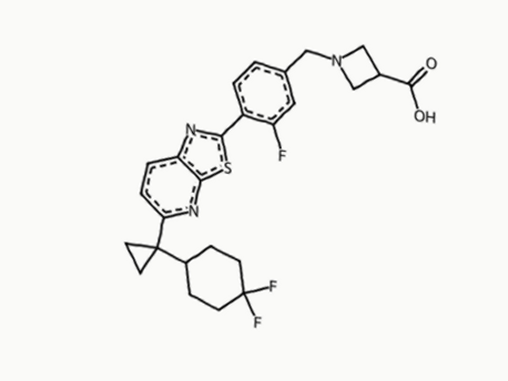 O=C(O)C1CN(Cc2ccc(-c3nc4ccc(C5(C6CCC(F)(F)CC6)CC5)nc4s3)c(F)c2)C1